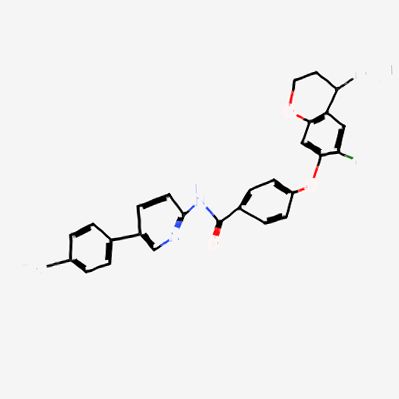 O=C(Nc1ccc(-c2ccc(C(F)(F)F)cc2)cn1)c1ccc(Oc2cc3c(cc2Cl)C(C(=O)O)CCO3)cc1